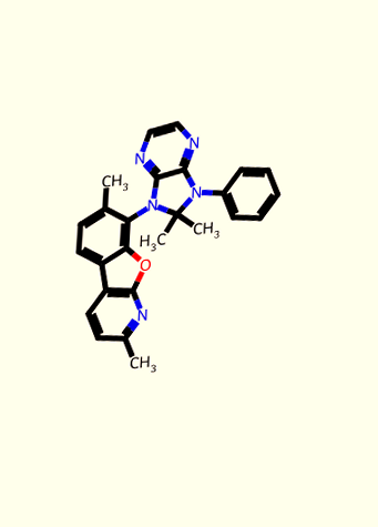 Cc1ccc2c(n1)oc1c(N3c4nccnc4N(c4ccccc4)C3(C)C)c(C)ccc12